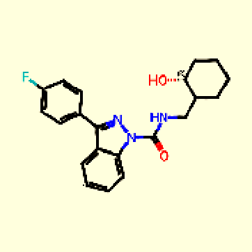 O=C(NCC1CCCC[C@H]1O)n1nc(-c2ccc(F)cc2)c2c[c]ccc21